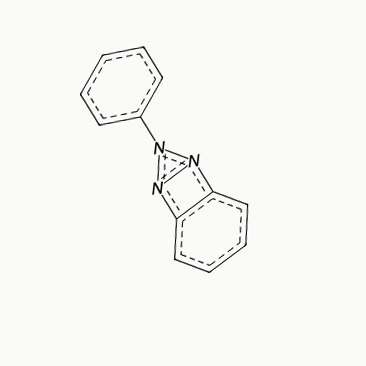 c1ccc(-n2n3c4ccccc4n23)cc1